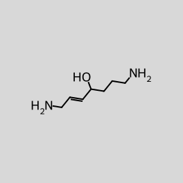 NCC=CC(O)CCCN